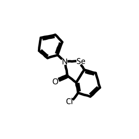 O=c1c2c(Cl)cccc2[se]n1-c1ccccc1